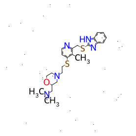 Cc1c(SCCN2CCOC(CN(C)C)C2)ccnc1CSc1nc2ccccc2[nH]1